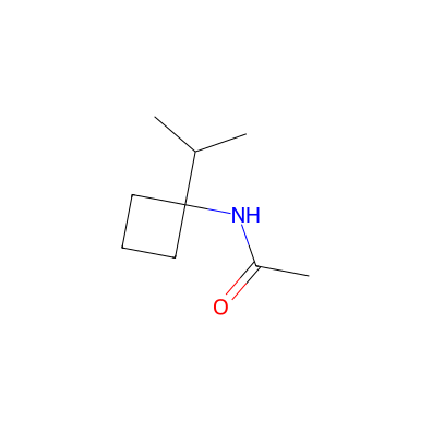 CC(=O)NC1(C(C)C)CCC1